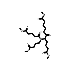 COC(=O)CCCNC(=O)C(CCCC(=O)OC)N(CCCC(=O)OC)C(=O)CCCC(=O)OC